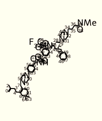 C=C(C)CCC1=C(CN2CCN(c3ccc(C(=O)NS(=O)(=O)c4ccc(N[C@H](CCN5CCN(CCCC(=O)NC)CC5)CSc5ccccc5)c(S(=O)(=O)C(F)(F)F)c4)cc3)CC2)CCC(C)(C)C1